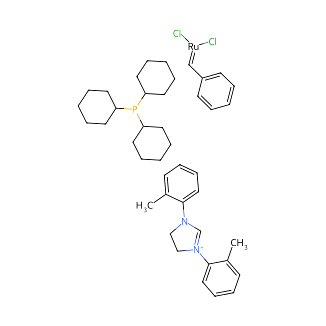 C1CCC(P(C2CCCCC2)C2CCCCC2)CC1.Cc1ccccc1N1C=[N+](c2ccccc2C)CC1.[Cl][Ru]([Cl])=[CH]c1ccccc1